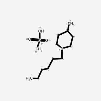 CCCCCCN1CCC(C)CC1.CS(=O)(=O)O